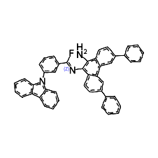 Nc1c(/N=C(\F)c2cccc(-n3c4ccccc4c4ccccc43)c2)c2ccc(-c3ccccc3)cc2c2cc(-c3ccccc3)ccc12